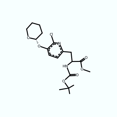 COC(=O)C(Cc1ccc(O[C@H]2CCCCO2)c(Cl)n1)NC(=O)OC(C)(C)C